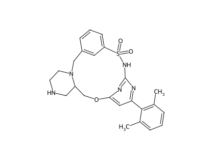 Cc1cccc(C)c1-c1cc2nc(n1)NS(=O)(=O)c1cccc(c1)CN1CCNCC1CO2